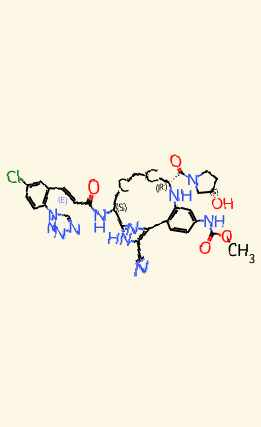 COC(=O)Nc1ccc2c(c1)N[C@@H](C(=O)N1CC[C@H](O)C1)CCCC[C@H](NC(=O)/C=C/c1cc(Cl)ccc1-n1cnnn1)c1nc-2c(C#N)[nH]1